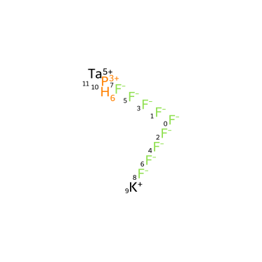 [F-].[F-].[F-].[F-].[F-].[F-].[F-].[F-].[F-].[K+].[PH6+3].[Ta+5]